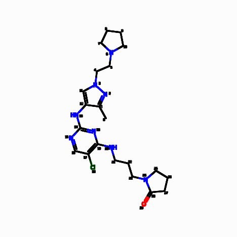 Cc1nn(CCN2CCCC2)cc1Nc1ncc(Cl)c(NCCCN2CCCC2=O)n1